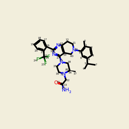 Cc1ccc(C(C)C)cc1N1CCc2nc(-c3ccccc3C(F)(F)F)nc(N3CCN(CC(N)=O)[C@H](C)C3)c2C1